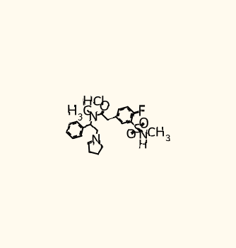 CNS(=O)(=O)c1cc(CC(=O)N(C)C(CN2CCCC2)c2ccccc2)ccc1F.Cl